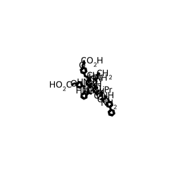 C=CNC(=O)C[C@H](NC(=O)[C@H](Cc1ccc(OCC(=O)O)cc1)NC(=O)[C@@H](C)Cc1ccc(OCC(=O)O)cc1)C(=O)N[C@@H](Cc1c[nH]c2ccccc12)C(=O)N[C@H](C(=O)N[C@@H](Cc1ccc(-c2ccccc2)cc1)C(N)=O)C(C)C